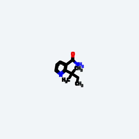 CCC(C)(C)c1ncccc1C(N)=O